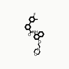 Cc1cc(-c2cccc(C(=O)Nc3ccc(OCCN4CCOCC4)c4ccccc34)c2)ccc1F